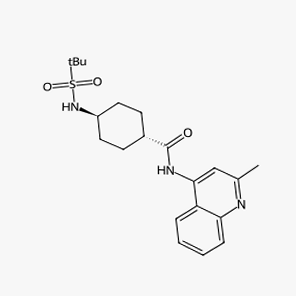 Cc1cc(NC(=O)[C@H]2CC[C@H](NS(=O)(=O)C(C)(C)C)CC2)c2ccccc2n1